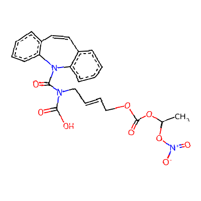 CC(OC(=O)OCC=CCN(C(=O)O)C(=O)N1c2ccccc2C=Cc2ccccc21)O[N+](=O)[O-]